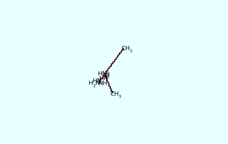 CCCCCCCCCCCCCCCCCCCCCC(=O)NC(CCCCNC(=N)N)C(=O)NCCCCCCCCCCCC